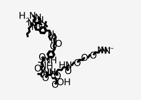 CCCCc1nc2c(N)nnc(OC(C)C)c2n1Cc1ccc(CN2CCN(C(=O)OCc3ccc(NC(=O)[C@H](C)NC(=O)[C@@H](NC(=O)[C@H](CCC(=O)O)NC(=O)CCCC(=O)NCCOCCOCCOCCN=[N+]=[N-])C(C)C)cc3)CC2)cc1